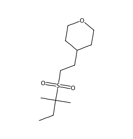 CCC(C)(C)S(=O)(=O)CCC1CCOCC1